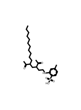 CCCCCCCCCCCC(CC(CCNc1cc(C)ccc1S(=O)(=O)O)C(C)=O)C(C)=O